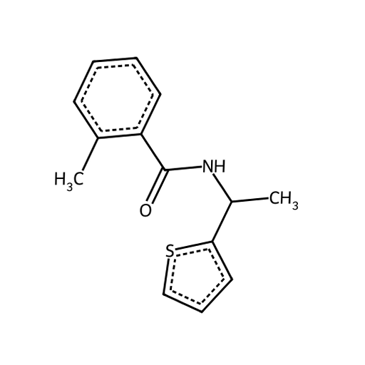 Cc1ccccc1C(=O)NC(C)c1cccs1